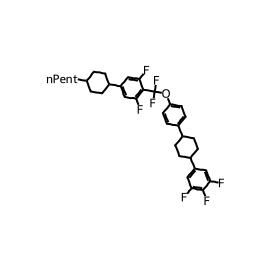 CCCCCC1CCC(c2cc(F)c(C(F)(F)Oc3ccc(C4CCC(c5cc(F)c(F)c(F)c5)CC4)cc3)c(F)c2)CC1